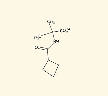 CC(C)(NC(=O)C1CCC1)C(=O)O